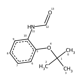 CC(C)(C)Oc1ccccc1NC=O